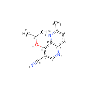 Cc1ccc2ncc(C#N)c(OC(C)C)c2n1